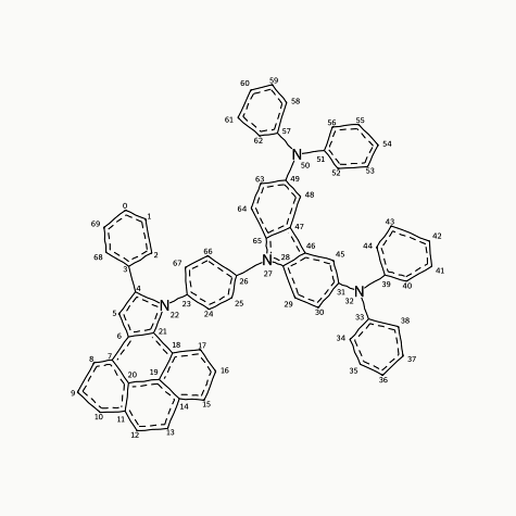 c1ccc(-c2cc3c4cccc5ccc6cccc(c6c54)c3n2-c2ccc(-n3c4ccc(N(c5ccccc5)c5ccccc5)cc4c4cc(N(c5ccccc5)c5ccccc5)ccc43)cc2)cc1